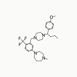 CCCC(c1ccc(OC)cc1)N1CCN(Cc2cc(N3CCCN(C)CC3)ccc2C(F)(F)F)CC1